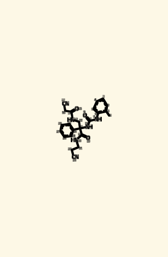 Cc1ccccc1NC(=O)NC(CNC(=O)CC#N)(C(=O)NCCC#N)c1ccccc1